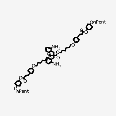 CCCCCOc1ccc(OC(=O)/C=C/c2ccc(OCCCCCCOC(=O)C(Cc3ccccc3N)(Cc3ccccc3N)C(=O)OCCCCCCOc3ccc(/C=C/C(=O)Oc4ccc(OCCCCC)cc4)cc3)cc2)cc1